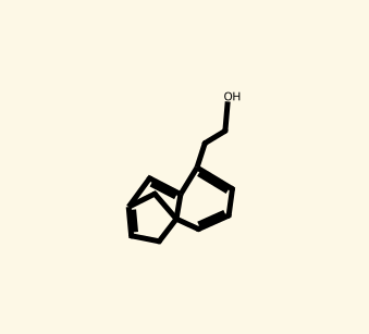 OCCC1=CC=CC23CC=C(C=C12)C3